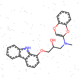 CN(CC(O)COc1cccc2c1[nH]c1ccccc12)C1=COc2ccccc2O1